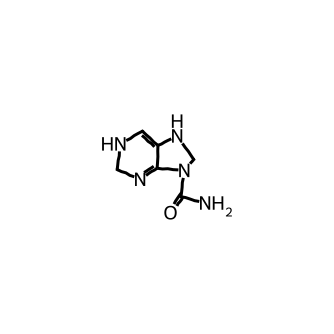 NC(=O)N1CNC2=CNCN=C21